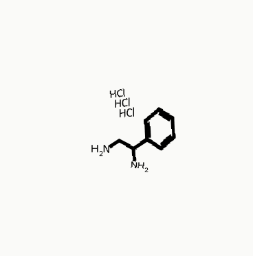 Cl.Cl.Cl.NCC(N)c1ccccc1